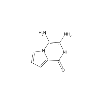 Nc1[nH]c(=O)c2cccn2c1N